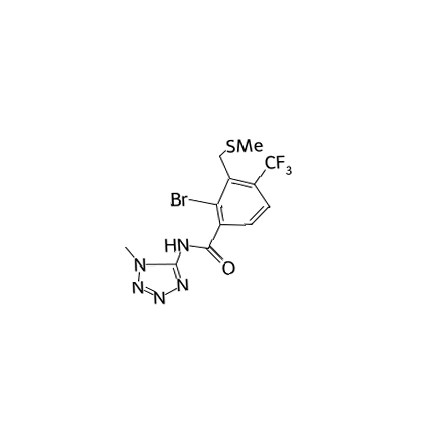 CSCc1c(C(F)(F)F)ccc(C(=O)Nc2nnnn2C)c1Br